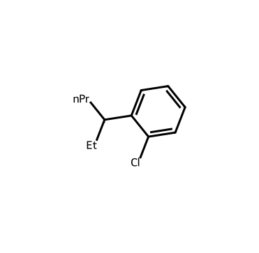 CCC[C](CC)c1ccccc1Cl